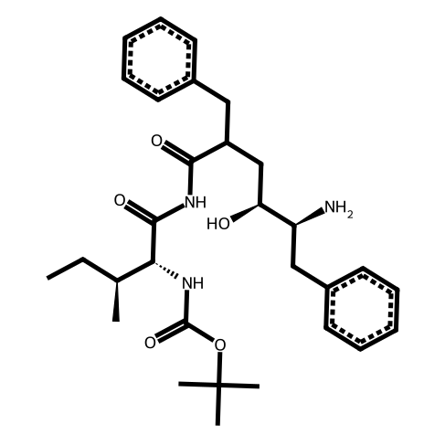 CC[C@H](C)[C@@H](NC(=O)OC(C)(C)C)C(=O)NC(=O)C(Cc1ccccc1)C[C@H](O)[C@@H](N)Cc1ccccc1